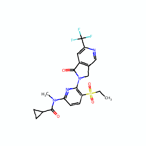 CCS(=O)(=O)c1ccc(N(C)C(=O)C2CC2)nc1N1Cc2cnc(C(F)(F)F)cc2C1=O